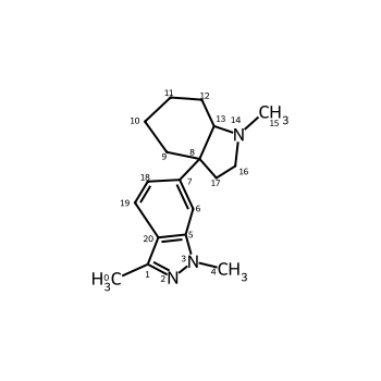 Cc1nn(C)c2cc(C34CCCCC3N(C)CC4)ccc12